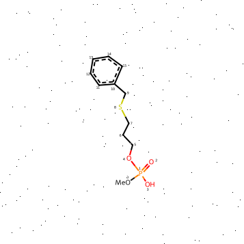 COP(=O)(O)OCCCSCc1ccccc1